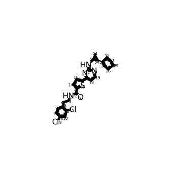 O=C(NCCc1ccc(Cl)cc1Cl)c1ccc(-c2ccnc(NC3C[C@H]3c3ccccc3)n2)s1